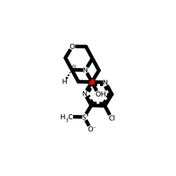 C[S+]([O-])c1nc(N2C3COC[C@@H]2CC(O)C3)ncc1Cl